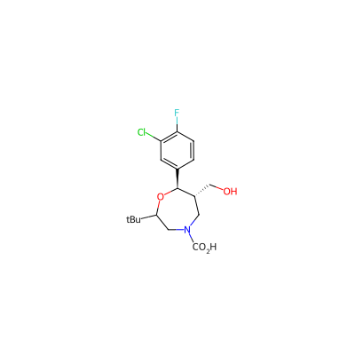 CC(C)(C)C1CN(C(=O)O)C[C@@H](CO)[C@H](c2ccc(F)c(Cl)c2)O1